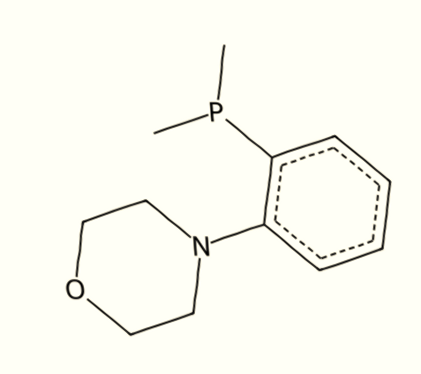 CP(C)c1ccccc1N1CCOCC1